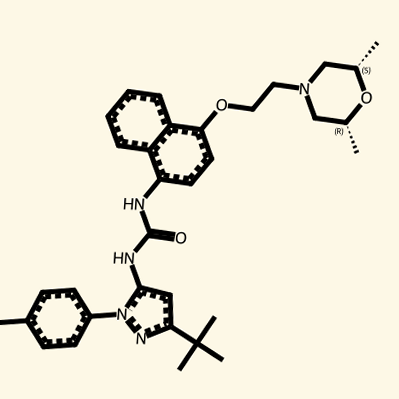 Cc1ccc(-n2nc(C(C)(C)C)cc2NC(=O)Nc2ccc(OCCN3C[C@@H](C)O[C@@H](C)C3)c3ccccc23)cc1